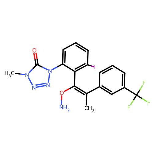 C/C(=C(\ON)c1c(I)cccc1-n1nnn(C)c1=O)c1cccc(C(F)(F)F)c1